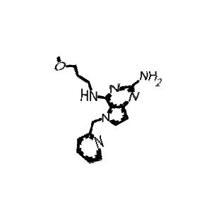 COCCCNc1nc(N)nc2ccn(Cc3ccccn3)c12